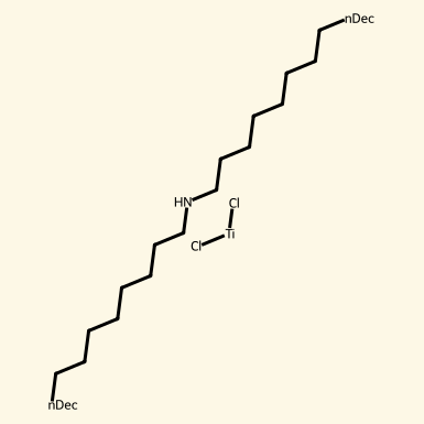 CCCCCCCCCCCCCCCCCCNCCCCCCCCCCCCCCCCCC.[Cl][Ti][Cl]